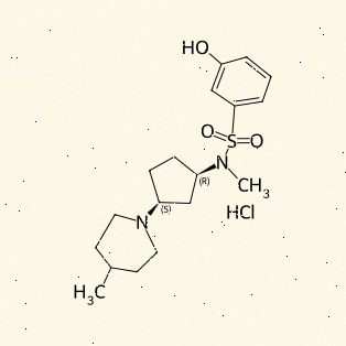 CC1CCN([C@H]2CC[C@@H](N(C)S(=O)(=O)c3cccc(O)c3)C2)CC1.Cl